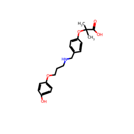 CC(C)(Oc1ccc(CNCCCOc2ccc(O)cc2)cc1)C(=O)O